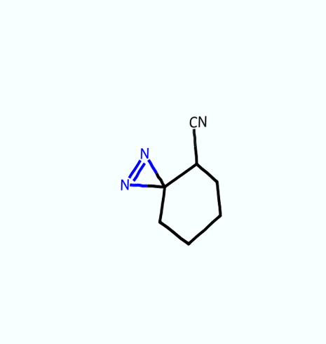 N#CC1CCCCC12N=N2